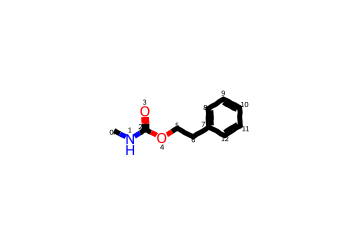 [CH2]NC(=O)OCCc1ccccc1